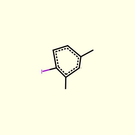 Cc1[c]c(C)c(I)cc1